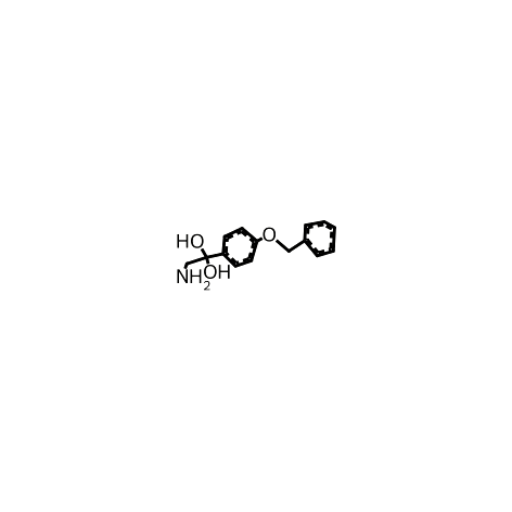 NCC(O)(O)c1ccc(OCc2ccccc2)cc1